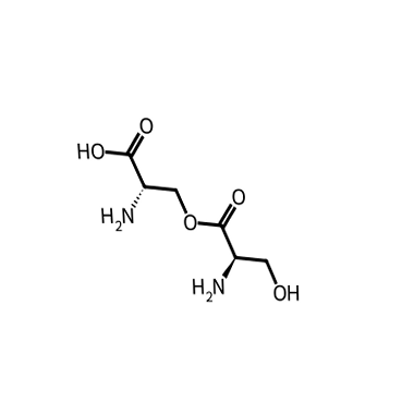 N[C@H](CO)C(=O)OC[C@H](N)C(=O)O